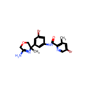 Cc1cc(Br)cnc1C(=O)Nc1cc(Br)cc(C2(C)COCC(N)=N2)c1